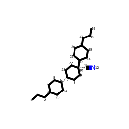 CCCC1CCC([C@H]2CC[C@](C#N)(C3CCC(CCC)CC3)CC2)CC1